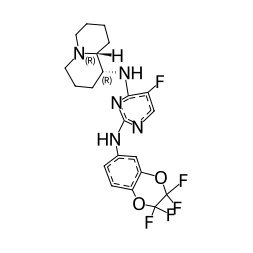 Fc1cnc(Nc2ccc3c(c2)OC(F)(F)C(F)(F)O3)nc1N[C@@H]1CCCN2CCCC[C@H]12